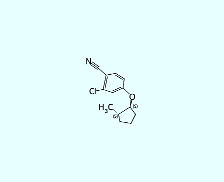 C[C@H]1CCC[C@@H]1Oc1ccc(C#N)c(Cl)c1